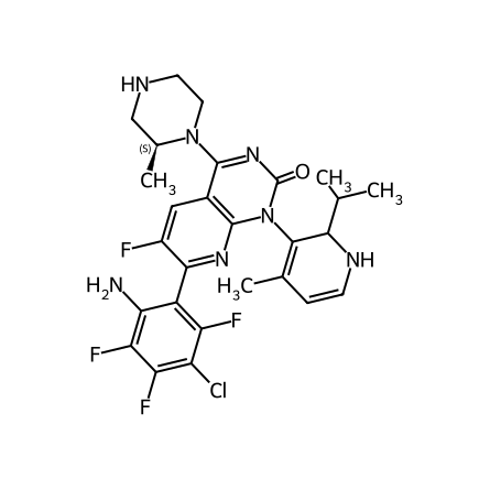 CC1=C(n2c(=O)nc(N3CCNC[C@@H]3C)c3cc(F)c(-c4c(N)c(F)c(F)c(Cl)c4F)nc32)C(C(C)C)NC=C1